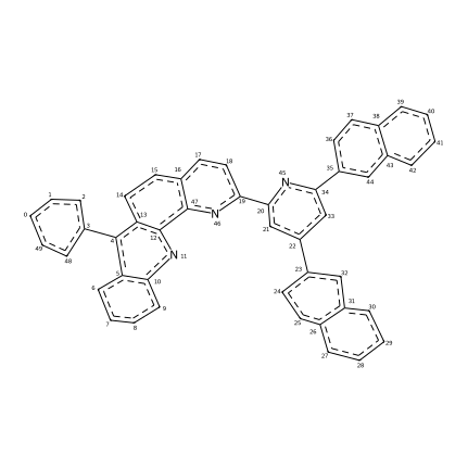 c1ccc(-c2c3ccccc3nc3c2ccc2ccc(-c4cc(-c5ccc6ccccc6c5)cc(-c5ccc6ccccc6c5)n4)nc23)cc1